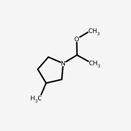 COC(C)N1CCC(C)C1